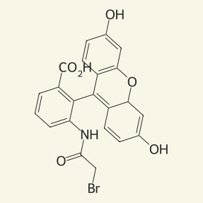 O=C(CBr)Nc1cccc(C(=O)O)c1C1=C2C=CC(O)=CC2Oc2cc(O)ccc21